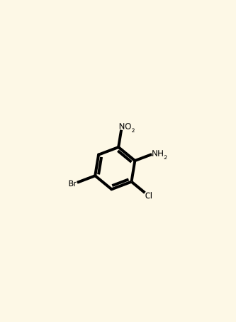 Nc1c(Cl)cc(Br)cc1[N+](=O)[O-]